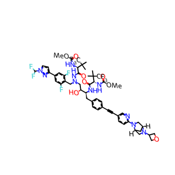 COC(=O)N[C@H](C(=O)N[C@@H](Cc1ccc(C#Cc2ccc(N3C[C@H]4C[C@@H]3CN4C3COC3)nc2)cc1)[C@@H](O)CN(Cc1c(F)cc(-c2ccn(C(F)F)n2)cc1F)NC(=O)[C@@H](NC(=O)OC)C(C)(C)C(F)(F)F)C(C)(C)C(F)(F)F